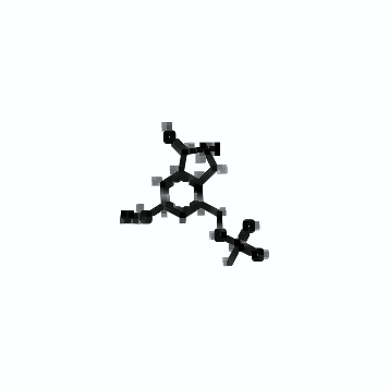 COc1cc(COS(C)(=O)=O)c2c(c1)C(=O)NC2